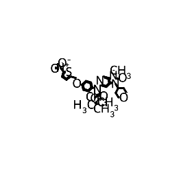 Cc1cc(OCc2ccc([N+](=O)[O-])s2)ccc1N(C(=O)OC(C)(C)C)c1cc2c(cn1)n(C)c(=O)n2C1CCOCC1